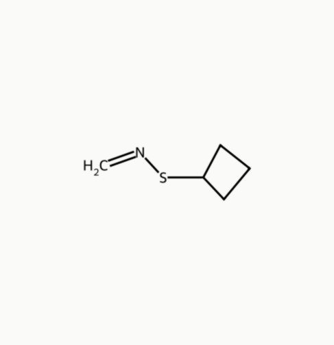 C=NSC1CCC1